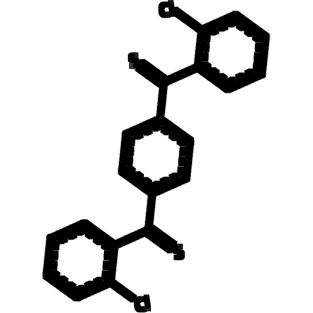 S=C(c1ccc(C(=S)c2ccccc2Cl)cc1)c1ccccc1Cl